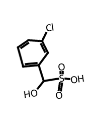 O=S(=O)(O)C(O)c1cccc(Cl)c1